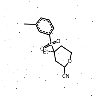 CCC1(S(=O)(=O)c2cccc(C)c2)CCOC(C#N)C1